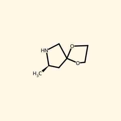 C[C@@H]1CC2(CN1)OCCO2